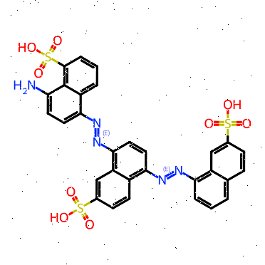 Nc1ccc(/N=N/c2ccc(/N=N/c3cccc4ccc(S(=O)(=O)O)cc34)c3ccc(S(=O)(=O)O)cc23)c2cccc(S(=O)(=O)O)c12